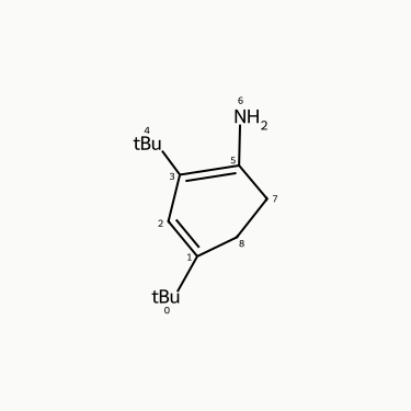 CC(C)(C)C1=CC(C(C)(C)C)=C(N)CC1